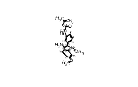 C=C(C)OC(=O)Nc1cccc(-c2c(N)c3ccc(OC)cc3n2CC)c1